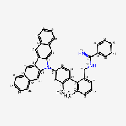 Cc1cc(-n2c3cc4ccccc4cc3c3cc4ccccc4cc32)ccc1-c1c(C)cccc1CNC(=N)c1ccccc1